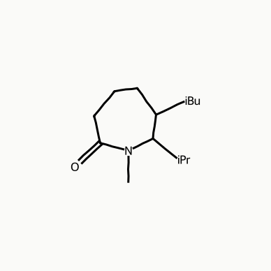 CCC(C)C1CCCC(=O)N(C)C1C(C)C